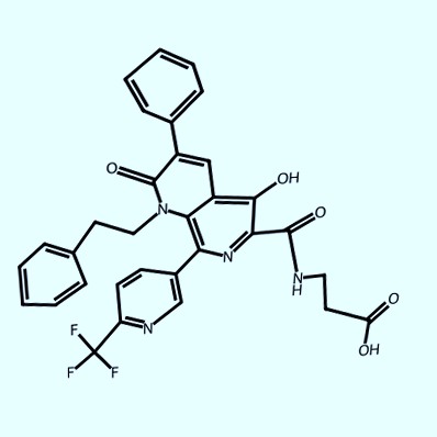 O=C(O)CCNC(=O)c1nc(-c2ccc(C(F)(F)F)nc2)c2c(cc(-c3ccccc3)c(=O)n2CCc2ccccc2)c1O